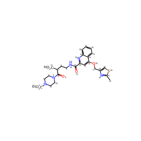 CCOC(=O)N1CCN(C(=O)C(CCNC(=O)c2cc(OCc3csc(C)n3)c3ccccc3n2)C(=O)O)CC1